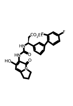 CCOC(=O)C[C@H](NC(=O)Nc1c(O)cc2n(c1=O)CCC2)c1cccc(-c2ccc(F)cc2F)c1